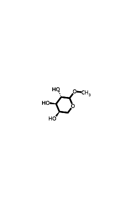 COC1OC[C@@H](O)[C@@H](O)[C@@H]1O